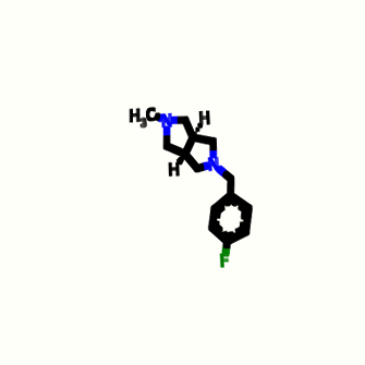 CN1C[C@H]2CN(Cc3ccc(F)cc3)C[C@@H]2C1